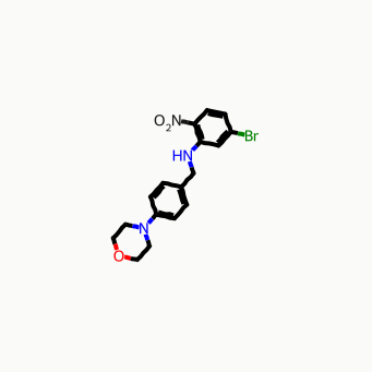 O=[N+]([O-])c1ccc(Br)cc1NCc1ccc(N2CCOCC2)cc1